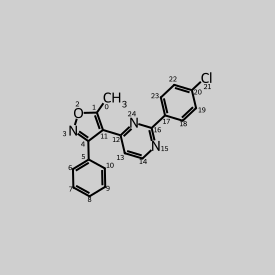 Cc1onc(-c2ccccc2)c1-c1ccnc(-c2ccc(Cl)cc2)n1